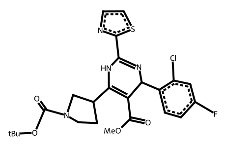 COC(=O)C1=C(C2CCN(C(=O)OC(C)(C)C)C2)NC(c2nccs2)=NC1c1ccc(F)cc1Cl